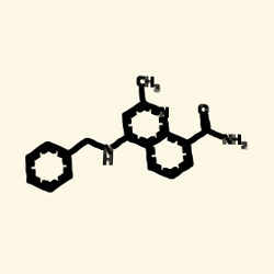 Cc1cc(NCc2ccccc2)c2cccc(C(N)=O)c2n1